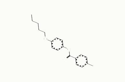 CCCCCOc1ccc(OC(=O)c2ccc(C)cc2)cc1